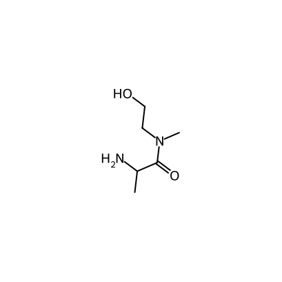 CC(N)C(=O)N(C)CCO